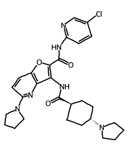 O=C(Nc1ccc(Cl)cn1)c1oc2ccc(N3CCCC3)nc2c1NC(=O)[C@H]1CC[C@H](N2CCCC2)CC1